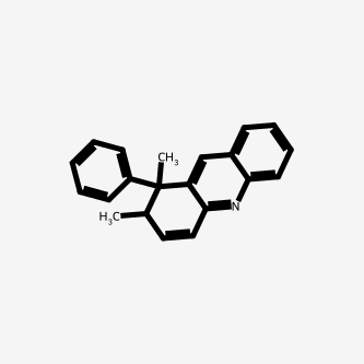 CC1C=Cc2nc3ccccc3cc2C1(C)c1ccccc1